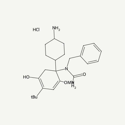 COC1=CC(C(C)(C)C)=C(O)CC1(C1CCC(N)CC1)N(Cc1ccccc1)C(N)=O.Cl